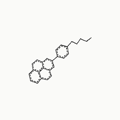 CCCCCc1ccc(-c2cc3ccc4cccc5ccc(c2)c3c45)cc1